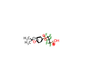 CC(C)(C)Oc1ccc(S(=O)(=O)C(F)(F)C(F)(F)C(F)(F)S(=O)(=O)O)cc1